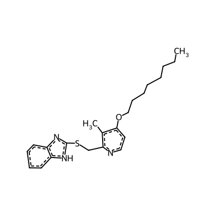 CCCCCCCCOc1ccnc(CSc2nc3ccccc3[nH]2)c1C